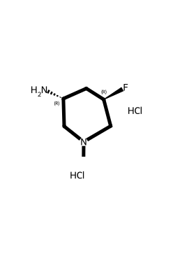 CN1C[C@H](N)C[C@@H](F)C1.Cl.Cl